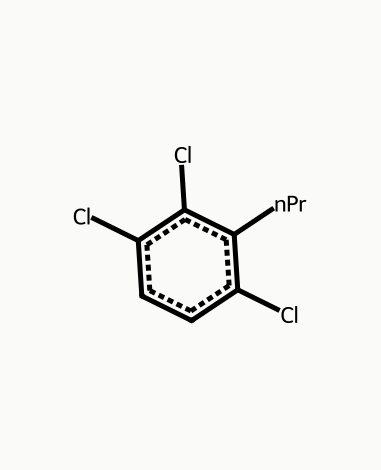 [CH2]CCc1c(Cl)ccc(Cl)c1Cl